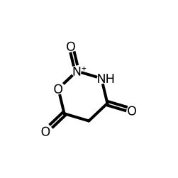 O=C1CC(=O)O[N+](=O)N1